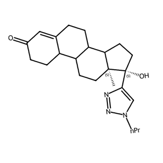 CCCn1cc([C@]2(O)CCC3C4CCC5=CC(=O)CCC5C4CC[C@@]32C)nn1